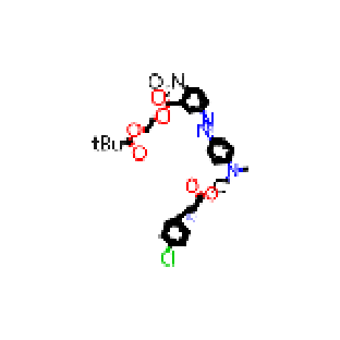 CN(CCOC(=O)/C=C/c1ccc(Cl)cc1)c1ccc(/N=N/c2ccc([N+](=O)[O-])c(C(=O)OCCOC(=O)C(C)(C)C)c2)cc1